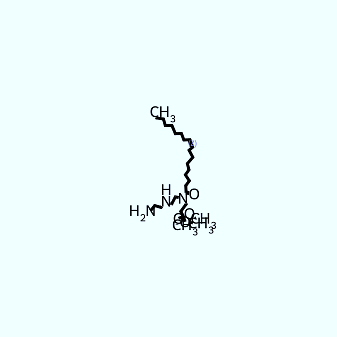 CCCCCCCC/C=C\CCCCCCCC(=O)N(CCNCCN)CCC(OC)(OC)OC